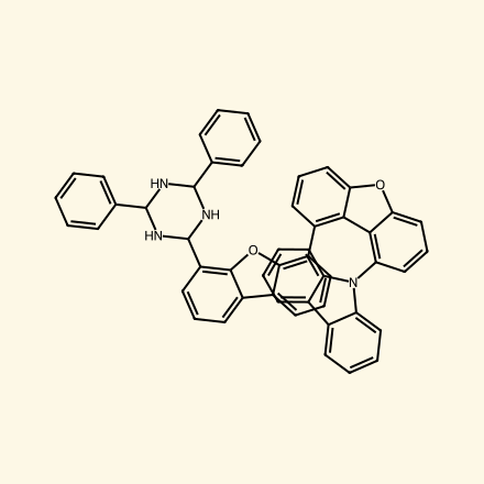 c1ccc(C2NC(c3ccccc3)NC(c3cccc4c3oc3c(-c5cccc6oc7cccc(-n8c9ccccc9c9ccccc98)c7c56)cccc34)N2)cc1